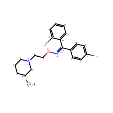 O=C(O)[C@@H]1CCCN(CCO/N=C(/c2ccc(F)cc2)c2ccccc2F)C1